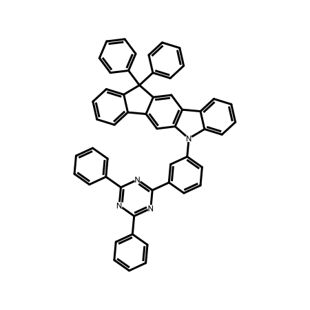 c1ccc(-c2nc(-c3ccccc3)nc(-c3cccc(-n4c5ccccc5c5cc6c(cc54)-c4ccccc4C6(c4ccccc4)c4ccccc4)c3)n2)cc1